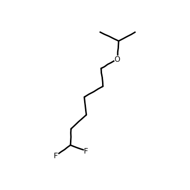 CC(C)OCCCCCC(F)F